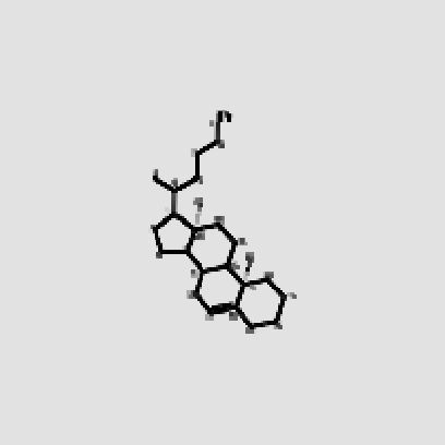 CC(C)CCCC(C)C1CCC2C3CC=C4CCCC[C@]4(C)C3CC[C@]12C